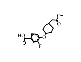 COC(=O)C[C@H]1CC[C@@H](Oc2ccc(C(=O)O)cc2F)CC1